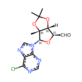 CC1(C)O[C@@H]2[C@@H](C=O)O[C@@H](n3cnc4c(Cl)ncnc43)[C@]2(C)O1